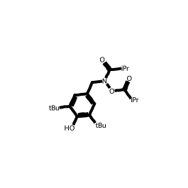 CC(C)C(=O)ON(Cc1cc(C(C)(C)C)c(O)c(C(C)(C)C)c1)C(=O)C(C)C